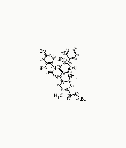 CC(C)c1nc(Br)nc(C(C)C)c1-n1c(=O)nc(N2C[C@@H](C)N(C(=O)OC(C)(C)C)C[C@@H]2C)c2cc(Cl)c(-c3ccccc3F)nc21